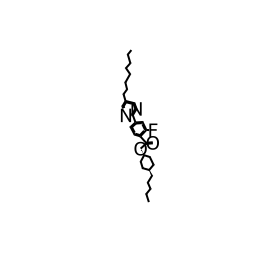 CCCCCCCCc1cnc(-c2ccc(C(=O)O[C@H]3CC[C@H](CCCCC)CC3)c(F)c2)nc1